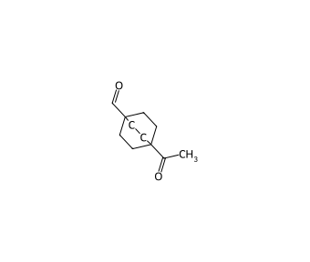 CC(=O)C12CCC(C=O)(CC1)CC2